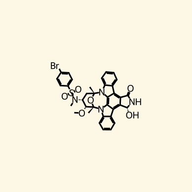 CO[C@@H]1[C@H](N(C)S(=O)(=O)c2ccc(Br)cc2)C[C@@]2(C)O[C@]1(C)n1c3ccccc3c3c4c(c5c6ccccc6n2c5c31)C(=O)N[C@@H]4O